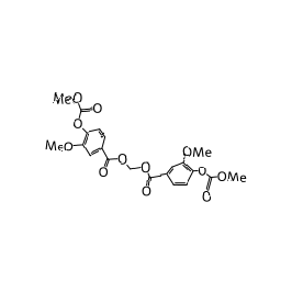 COC(=O)Oc1ccc(C(=O)OCOC(=O)c2ccc(OC(=O)OC)c(OC)c2)cc1OC